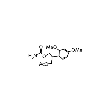 COc1ccc([C@@H](COC(C)=O)COC(N)=O)c(OC)c1